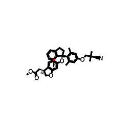 COC(=O)C[C@@H]1COc2cc(O[C@@]3(c4c(C)cc(OCC(C)(C)C#N)cc4C)CCc4cccc(F)c43)ccc21